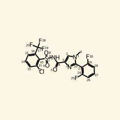 Cn1cc(C(=O)NS(=O)(=O)c2c(Cl)cccc2C(F)(F)F)nc1-c1c(F)cccc1F